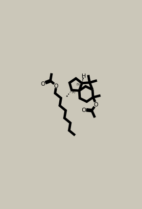 CC(=O)OC1(C)CCC23CC1C(C)(C)[C@@H]2CC[C@H]3C.CCCCCCCCOC(C)=O